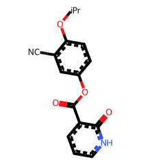 CC(C)Oc1ccc(OC(=O)c2ccc[nH]c2=O)cc1C#N